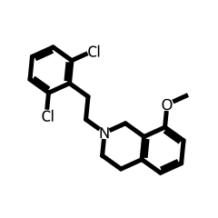 COc1cccc2c1CN(CCc1c(Cl)cccc1Cl)CC2